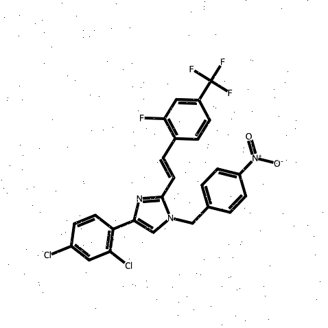 O=[N+]([O-])c1ccc(Cn2cc(-c3ccc(Cl)cc3Cl)nc2/C=C/c2ccc(C(F)(F)F)cc2F)cc1